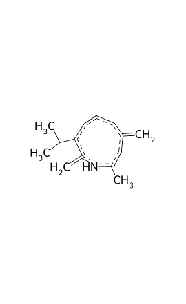 C=c1cccc(C(C)C)c(=C)[nH]c(C)c1